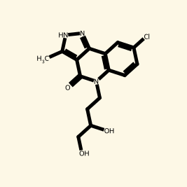 Cc1[nH]nc2c1c(=O)n(CCC(O)CO)c1ccc(Cl)cc21